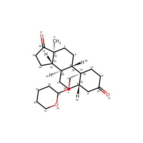 C[C@]12CC[C@H]3[C@@H](CC[C@H]4CC(=O)CC[C@@]43COC3CCCCO3)[C@@H]1CCC2=O